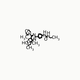 CCNC(=O)Nc1ccc(-c2nc(N3CCOC[C@@H]3C)c3c(n2)[C@@](C)(CC(C)O)OC3)cc1